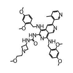 COCCN1CC(NC(=O)Nc2nc(NCc3ccc(OC)cc3OC)c3cnc(-c4cnccc4C)cc3c2NCc2ccc(OC)cc2OC)C1